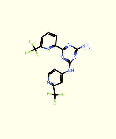 Nc1nc(Nc2ccnc(C(F)(F)F)c2)nc(-c2cccc(C(F)(F)F)n2)n1